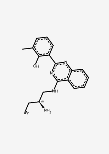 Cc1cccc(-c2nc(NC[C@@H](N)CC(C)C)c3ccccc3n2)c1O